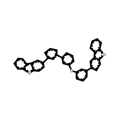 c1cc(Oc2cccc(-c3ccc4oc5ccccc5c4c3)c2)cc(-c2cccc(-c3ccc4oc5ccccc5c4c3)c2)c1